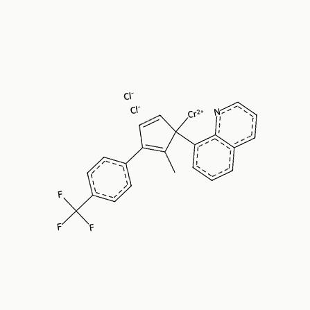 CC1=C(c2ccc(C(F)(F)F)cc2)C=C[C]1([Cr+2])c1cccc2cccnc12.[Cl-].[Cl-]